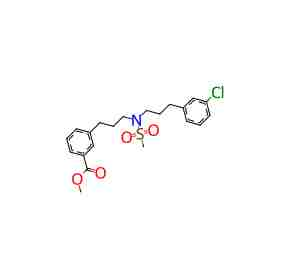 COC(=O)c1cccc(CCCN(CCCc2cccc(Cl)c2)S(C)(=O)=O)c1